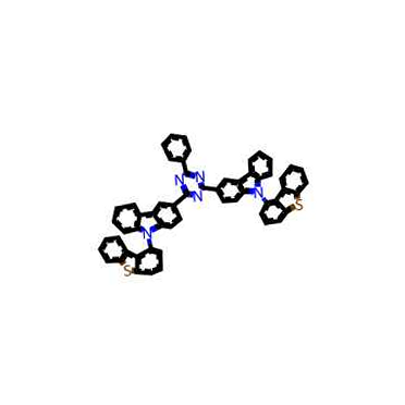 c1ccc(-c2nc(-c3ccc4c(c3)c3ccccc3n4-c3cccc4sc5ccccc5c34)nc(-c3ccc4c(c3)c3ccccc3n4-c3cccc4sc5ccccc5c34)n2)cc1